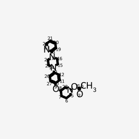 CC(=O)ON1CCCC(Oc2ccc(N3CCN(c4ccccn4)CC3)cc2)C1